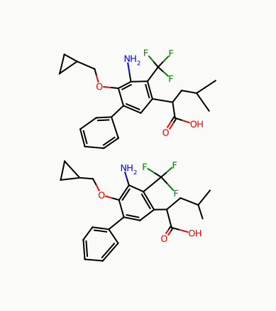 CC(C)CC(C(=O)O)c1cc(-c2ccccc2)c(OCC2CC2)c(N)c1C(F)(F)F.CC(C)CC(C(=O)O)c1cc(-c2ccccc2)c(OCC2CC2)c(N)c1C(F)(F)F